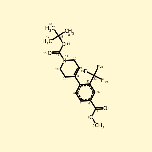 COC(=O)c1ccc(C2=CCN(C(=O)OC(C)(C)C)CC2)c(C(F)(F)F)c1